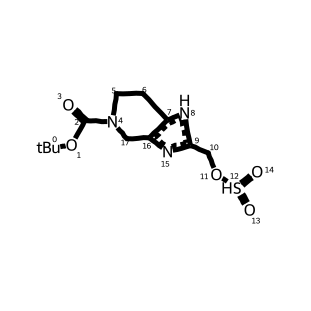 CC(C)(C)OC(=O)N1CCc2[nH]c(CO[SH](=O)=O)nc2C1